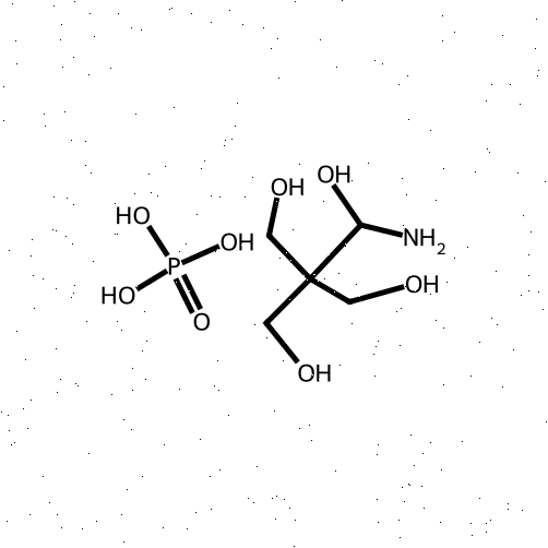 NC(O)C(CO)(CO)CO.O=P(O)(O)O